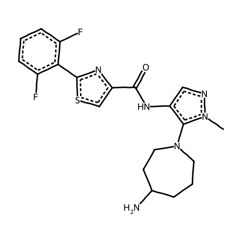 Cn1ncc(NC(=O)c2csc(-c3c(F)cccc3F)n2)c1N1CCCC(N)CC1